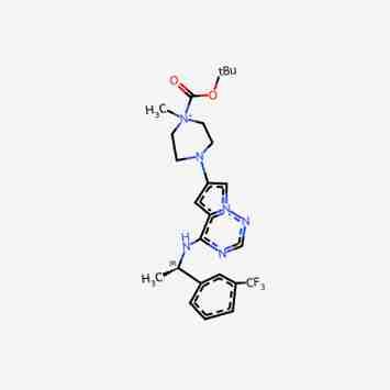 C[C@@H](Nc1ncnn2cc(N3CC[N+](C)(C(=O)OC(C)(C)C)CC3)cc12)c1cccc(C(F)(F)F)c1